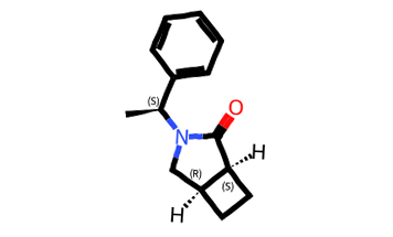 C[C@@H](c1ccccc1)N1C[C@@H]2CC[C@@H]2C1=O